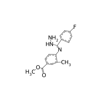 COC(=O)c1ccc(/N=C(\NN)c2ccc(F)cc2)c(C)c1